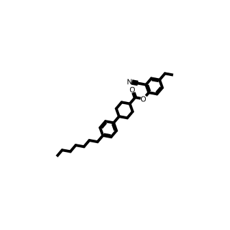 CCCCCCCc1ccc(C2CCC(C(=O)Oc3ccc(CC)cc3C#N)CC2)cc1